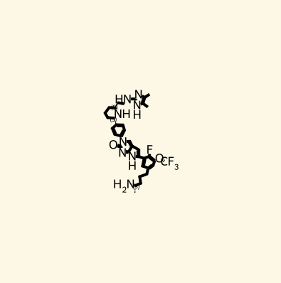 Cc1nc(NCC[C@@H]2CCC[C@@H](c3ccc(-n4cc5cc(-c6cc(CCC[C@H](C)N)cc(OC(F)(F)F)c6F)[nH]c5nc4=O)cc3)N2)[nH]c1C